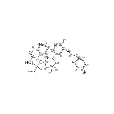 CCC(C)(C)OC(C(=O)O)c1c(C)ncc(-c2ccc(OCCc3ccc(F)cc3)c(F)n2)c1N1CCC(C)(C)CC1